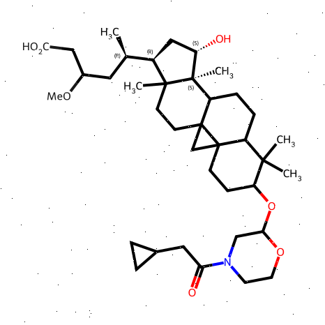 COC(CC(=O)O)C[C@@H](C)[C@H]1C[C@H](O)[C@@]2(C)C3CCC4C(C)(C)C(OC5CN(C(=O)CC6CC6)CCO5)CCC45CC35CCC12C